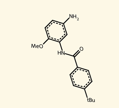 COc1ccc(N)cc1NC(=O)c1ccc(C(C)(C)C)cc1